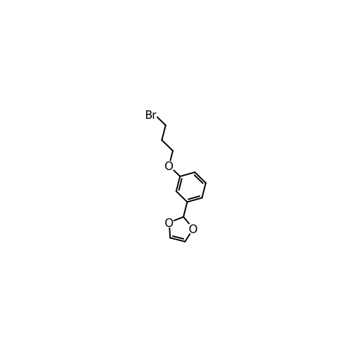 BrCCCOc1cccc(C2OC=CO2)c1